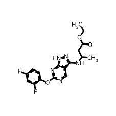 CCOC(=O)CC(C)Nc1n[nH]c2nc(Oc3ccc(F)cc3F)ncc12